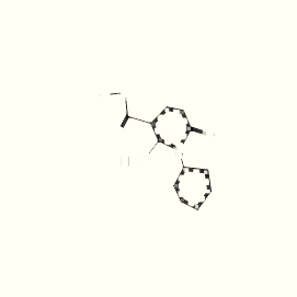 COC(=O)c1ccc(=O)n(-c2ccccc2)c1C